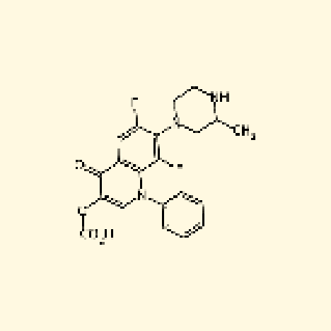 CC1CN(c2c(F)cc3c(=O)c(OC(=O)O)cn(-c4ccccc4)c3c2F)CCN1